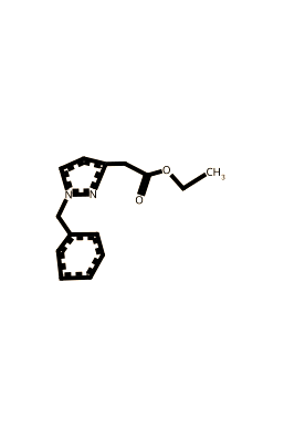 CCOC(=O)Cc1ccn(Cc2ccccc2)n1